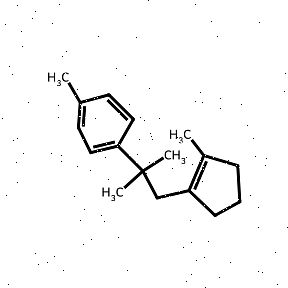 CC1=C(CC(C)(C)c2ccc(C)cc2)CCC1